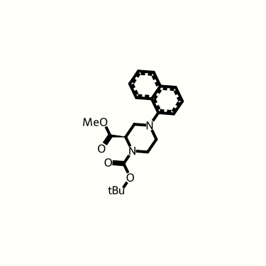 COC(=O)[C@H]1CN(c2cccc3ccccc23)CCN1C(=O)OC(C)(C)C